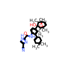 C[C@@H]1[C@@](O)(c2ccc(NC(=O)c3nc(C#N)c[nH]3)c(C3=CCC(C)(C)CC3)c2)[C@H](C)[C@]2(C)C=C[C@@]1(C)O2